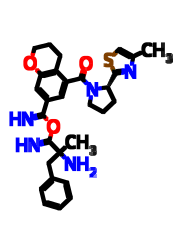 Cc1csc([C@H]2CCCN2C(=O)c2cc(C(=N)OC(=N)C(C)(N)Cc3ccccc3)cc3c2CCCO3)n1